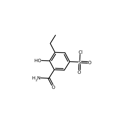 CCc1cc(S(=O)(=O)Cl)cc(C(N)=O)c1O